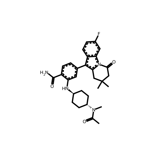 CC(=O)N(C)[C@H]1CC[C@H](Nc2cc(-c3c4n(c5cc(F)ccc35)C(=O)CC(C)(C)C4)ccc2C(N)=O)CC1